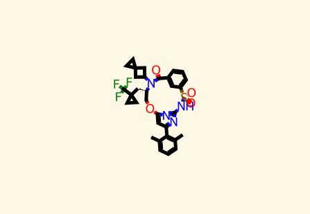 Cc1cccc(C)c1-c1cc2nc(n1)NS(=O)(=O)c1cccc(c1)C(=O)N(C1CC3(CC3)C1)[C@@H](CC1(C(F)(F)F)CC1)CO2